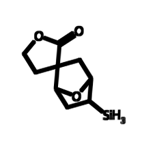 O=C1OCCC12CC1OC2CC1[SiH3]